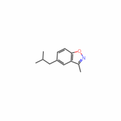 Cc1noc2ccc(CC(C)C)cc12